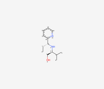 CC[C@@H](N[C@H](CO)C(C)C)c1ccccn1